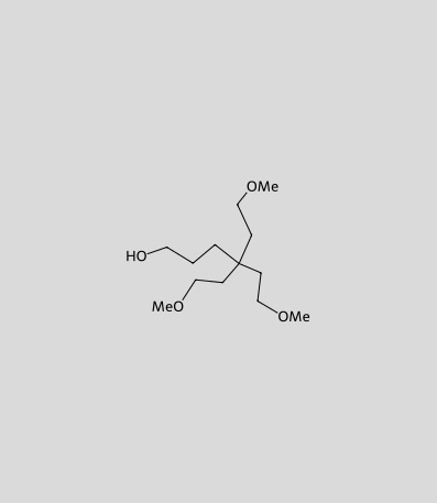 COCCC(CCCO)(CCOC)CCOC